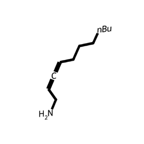 CCCCCCCC=C=CCN